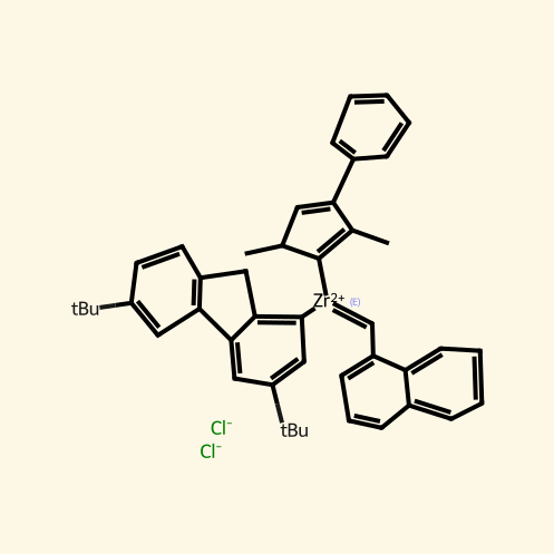 CC1=[C](/[Zr+2](=[CH]/c2cccc3ccccc23)[c]2cc(C(C)(C)C)cc3c2Cc2ccc(C(C)(C)C)cc2-3)C(C)C=C1c1ccccc1.[Cl-].[Cl-]